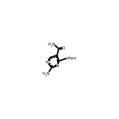 CCCCCc1nc(N)ncc1C(N)=O